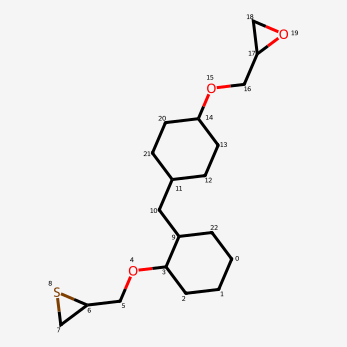 C1CCC(OCC2CS2)C(CC2CCC(OCC3CO3)CC2)C1